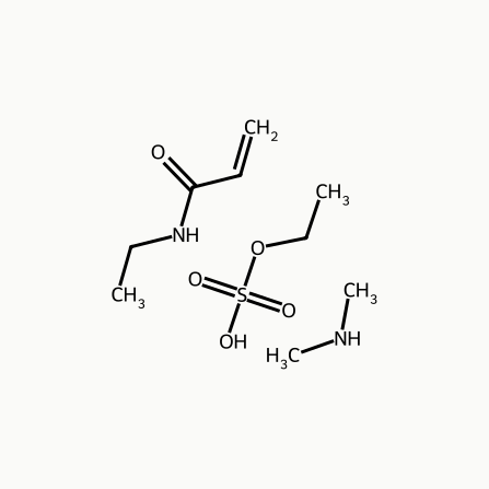 C=CC(=O)NCC.CCOS(=O)(=O)O.CNC